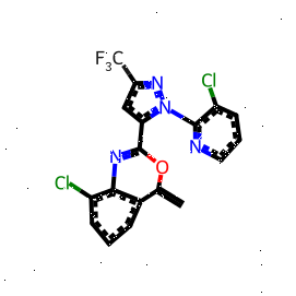 C=C1OC(c2cc(C(F)(F)F)nn2-c2ncccc2Cl)=Nc2c(Cl)cccc21